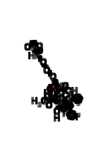 CNC(=O)[C@H](CCN(C(=O)CO)[C@@H](c1cc(-c2cc(F)ccc2F)cn1Cc1ccccc1)C(C)(C)C)NC(=O)[C@@H]1CCCN1C(=O)[C@H](CC(=O)O)NC(=O)CCOCCOCCOCCNC(=O)CN1C(=O)C=CC1=O